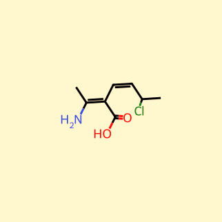 C/C(N)=C(\C=C/C(C)Cl)C(=O)O